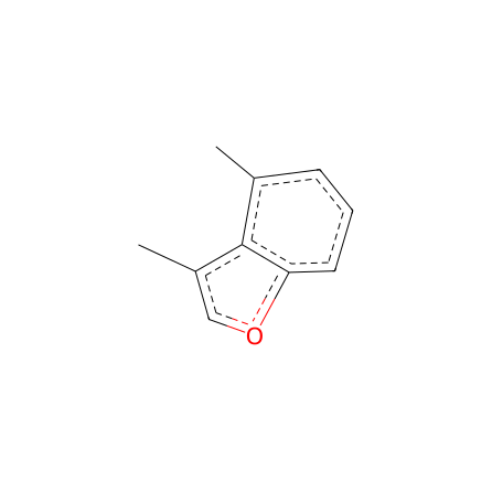 Cc1cccc2occ(C)c12